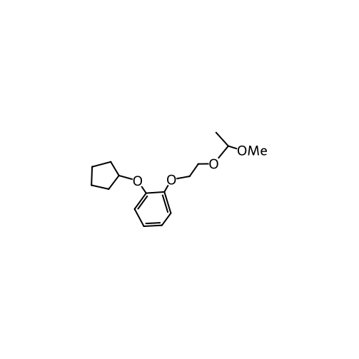 COC(C)OCCOc1ccccc1OC1CCCC1